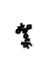 NC(=O)[C@H](N)CC(=O)N1CCN(c2cc(N3CCOCC3)nc(-n3c(C(F)F)nc4ccccc43)n2)CC1